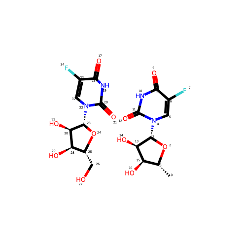 C[C@H]1O[C@@H](n2cc(F)c(=O)[nH]c2=O)[C@H](O)[C@@H]1O.O=c1[nH]c(=O)n([C@@H]2O[C@H](CO)[C@@H](O)[C@H]2O)cc1F